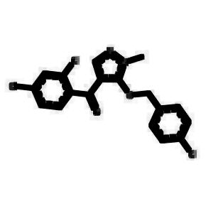 Cn1ncc(C(=O)c2ccc(Cl)cc2Cl)c1OCc1ccc(Cl)cc1